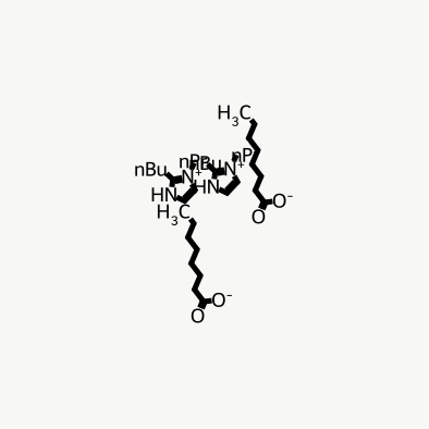 CCCCCCCC(=O)[O-].CCCCCCCC(=O)[O-].CCCCc1[nH]cc[n+]1CCCC.CCCc1[nH]cc[n+]1CCC